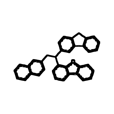 c1ccc2c(c1)Cc1ccc(C(Cc3ccc4ccccc4c3)c3cccc4c3oc3ccccc34)cc1-2